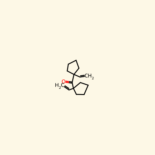 C=CC1(C(=O)C2(C=C)CCCC2)CCCC1